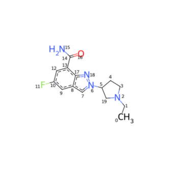 CCN1CCC(n2cc3cc(F)cc(C(N)=O)c3n2)C1